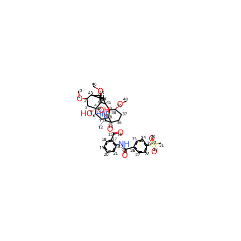 COC1C[C@]2(O)CCC3C4(N[C@@H](C)[C@]3(OC(=O)c3ccccc3NC(=O)c3ccc(S(C)(=O)=O)cc3)CC[C@@H]4OC)C3CC1[C@H](OC)[C@@]32O